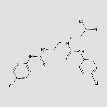 CCN(CC)CCN(CCNC(=S)Nc1ccc(Cl)cc1)C(=S)Nc1ccc(Cl)cc1